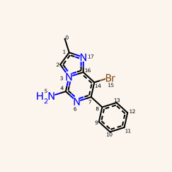 Cc1cn2c(N)nc(-c3ccccc3)c(Br)c2n1